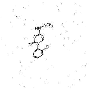 O=c1nc(NNC(F)(F)F)ncn1-c1ccccc1Cl